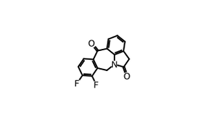 O=C1c2ccc(F)c(F)c2CN2C(=O)Cc3cccc1c32